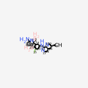 BC[C@@](/N=C(\C)N)(c1cc(Nc2nccc3cc(C#C)cnc23)cc(F)c1B)[C@@H](C)CC